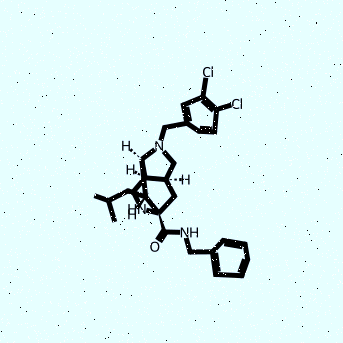 CC(C)C[C@@H]1[C@@H]2[C@@H]3CN[C@@]1(C(=O)NCc1ccccc1)C[C@@H]3CN2Cc1ccc(Cl)c(Cl)c1